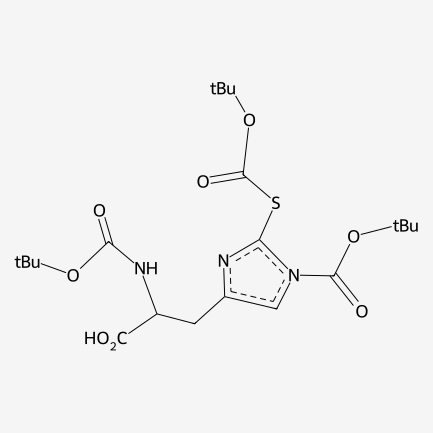 CC(C)(C)OC(=O)NC(Cc1cn(C(=O)OC(C)(C)C)c(SC(=O)OC(C)(C)C)n1)C(=O)O